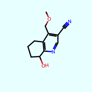 COCc1c(C#N)cnc2c1CCCC2O